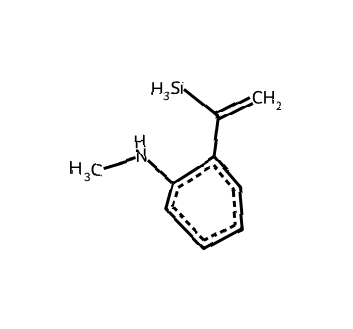 C=C([SiH3])c1ccccc1NC